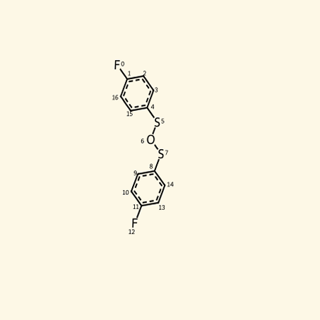 Fc1ccc(SOSc2ccc(F)cc2)cc1